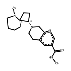 CC(=O)N1CCCC[C@@]12CC[C@@H]2N1CCc2cc(C(=O)NO)cnc2C1